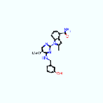 COc1cnc(-n2c(C)cc3c(C(N)=O)cccc32)nc1NCc1cccc(O)c1